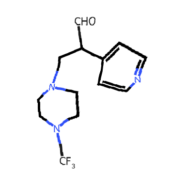 O=CC(CN1CCN(C(F)(F)F)CC1)c1ccncc1